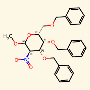 CO[C@H]1O[C@H](COCc2ccccc2)[C@H](OCc2ccccc2)[C@H](OCc2ccccc2)[C@H]1[N+](=O)[O-]